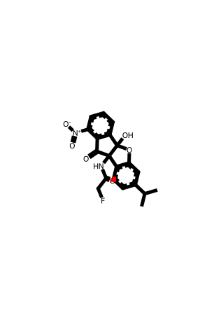 CC(C)c1ccc2c(c1)OC1(O)c3cccc([N+](=O)[O-])c3C(=O)C21NC(=O)CF